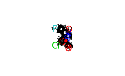 O=C(c1ccoc1)N1CCN2C(=O)c3ccc(F)cc3CC12c1ccc(Cl)cc1